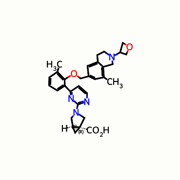 Cc1cc(COc2c(C)cccc2-c2ccnc(N3C[C@@H]4C[C@]4(C(=O)O)C3)n2)cc2c1CN(C1COC1)CC2